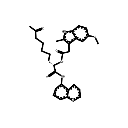 COc1ccc2[nH]c(C)c(CC(=O)N[C@@H](CCCCCC(C)=O)C(=O)Nc3cccc4ncccc34)c2c1